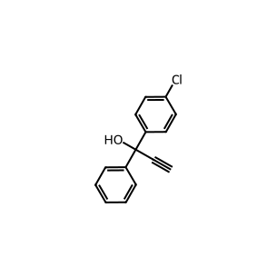 C#CC(O)(c1ccccc1)c1ccc(Cl)cc1